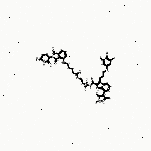 Cc1cc(OCCCc2c(C(=O)NS(=O)(=O)CCNC(=O)CCCCNc3cccc4c3C(=O)N(C3CCC(=O)NC3=O)C4=O)[nH]c3c(-c4c(C)nn(C)c4C)cccc23)cc(C)c1Cl